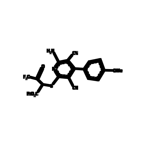 CCOC(=O)C(Sc1nc(N)c(C#N)c(-c2ccc(OC)cc2)c1C#N)C(=O)C(F)(F)F